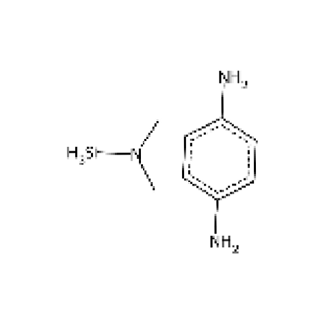 CN(C)[SiH3].Nc1ccc(N)cc1